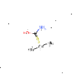 CCC[CH2][Cu][CH2]CCC.NC(O)=S